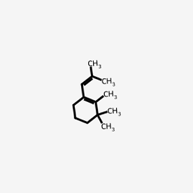 CC(C)=CC1=C(C)C(C)(C)CCC1